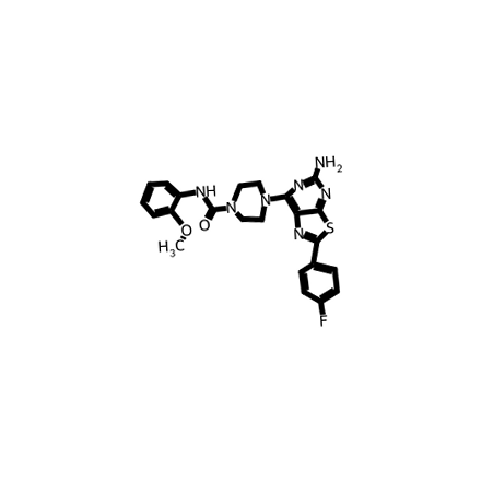 COc1ccccc1NC(=O)N1CCN(c2nc(N)nc3sc(-c4ccc(F)cc4)nc23)CC1